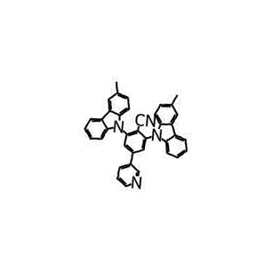 Cc1ccc2c(c1)c1ccccc1n2-c1cc(-c2cccnc2)cc(-n2c3ccccc3c3cc(C)ccc32)c1C#N